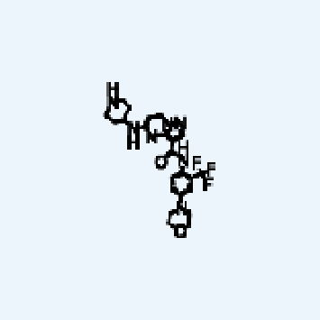 O=C(Nc1ccc(N2CCOCC2)cc1C(F)(F)F)c1cnn2ccc(NC3CCNCC3)nc12